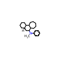 CN(c1ccccc1)C1C[C@H]2CCCCC2C2CCCCCC21